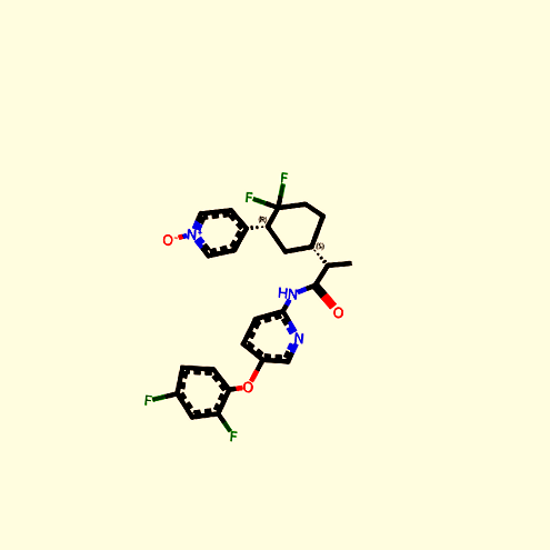 CC(C(=O)Nc1ccc(Oc2ccc(F)cc2F)cn1)[C@H]1CCC(F)(F)[C@@H](c2cc[n+]([O-])cc2)C1